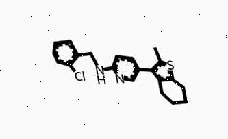 Cc1sc2c(c1-c1ccc(NCc3ccccc3Cl)nc1)CCCC2